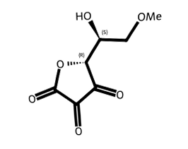 COC[C@H](O)[C@H]1OC(=O)C(=O)C1=O